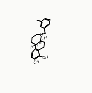 Cc1cccc(CN2CCC[C@H]3c4ccc(O)c(O)c4CC[C@@H]32)c1